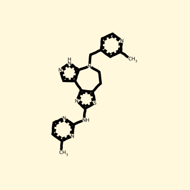 Cc1cc(CN2CCc3sc(Nc4nccc(C)n4)nc3-c3cn[nH]c32)ccn1